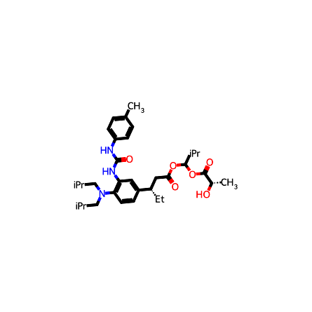 CC[C@@H](CC(=O)OC(OC(=O)[C@H](C)O)C(C)C)c1ccc(N(CC(C)C)CC(C)C)c(NC(=O)Nc2ccc(C)cc2)c1